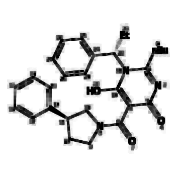 CCCCc1nc(=O)c(C(=O)N2CC[C@@H](c3ccccc3)C2)c(O)n1[C@@H](CC)c1ccccc1